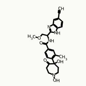 C#Cc1ccc2[nH]c(C(COC)NC(=O)c3ccc(C4(O)CCN(O)CCC4=O)c(C)c3)nc2c1